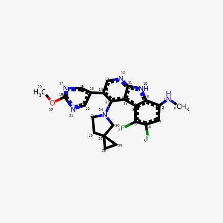 CNc1cc(F)c(F)c2c1[nH]c1ncc(-c3cnc(OC)nc3)c(N3CCC4(CC4)C3)c12